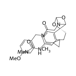 CNC(=O)Nc1ccc2c(c1)CC[C@@]21OC2OC1N2CC(=O)N(Cc1ccc(OC)cc1)[C@@H](C)C1CC1